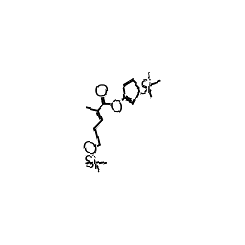 CC(=CCCO[Si](C)(C)C)C(=O)OC1=CC([Si](C)(C)C)CC1